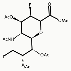 COC(=O)C1O[C@@H]([C@H](OC(C)=O)[C@@H](CI)OC(C)=O)[C@H](NC(C)=O)[C@@H](OC(C)=O)[C@H]1F